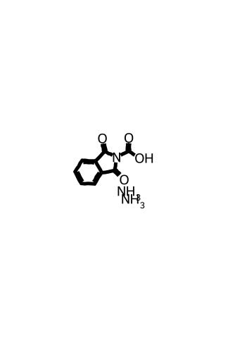 N.N.O=C(O)N1C(=O)c2ccccc2C1=O